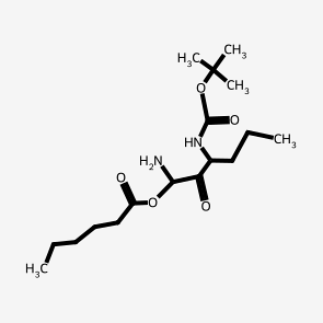 CCCCCC(=O)OC(N)C(=O)C(CCC)NC(=O)OC(C)(C)C